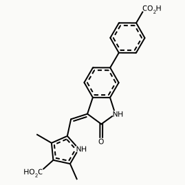 Cc1[nH]c(/C=C2\C(=O)Nc3cc(-c4ccc(C(=O)O)cc4)ccc32)c(C)c1C(=O)O